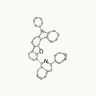 c1ccc(-c2cc3ccccc3c(-c3cccc4c3oc3c4ccc4c3c3ccccc3n4-c3ccccc3)n2)cc1